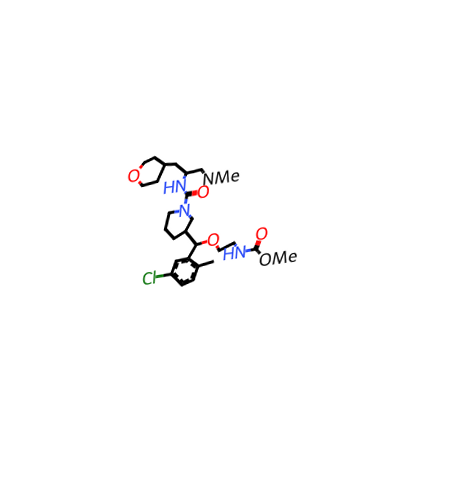 CNCC(CC1CCOCC1)NC(=O)N1CCCC(C(OCCNC(=O)OC)c2cc(Cl)ccc2C)C1